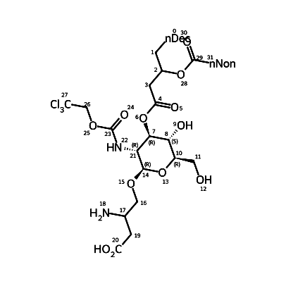 CCCCCCCCCCCC(CC(=O)O[C@H]1[C@H](O)[C@@H](CO)O[C@@H](OCC(N)CC(=O)O)[C@@H]1NC(=O)OCC(Cl)(Cl)Cl)OC(=O)CCCCCCCCC